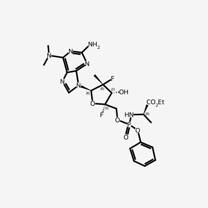 CCOC(=O)[C@@H](C)NP(=O)(OC[C@@]1(F)O[C@@H](n2cnc3c(N(C)C)nc(N)nc32)[C@](C)(F)[C@@H]1O)Oc1ccccc1